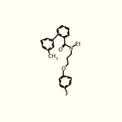 CCN(CCCOc1ccc(F)cc1)C(=O)c1ccccc1-c1cccc(C)c1